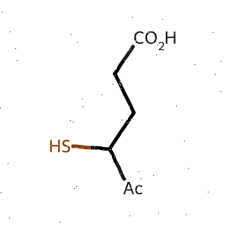 CC(=O)C(S)CCC(=O)O